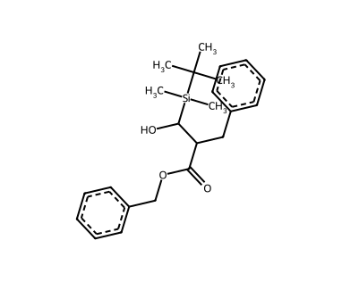 CC(C)(C)[Si](C)(C)C(O)C(Cc1ccccc1)C(=O)OCc1ccccc1